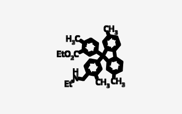 CCNCc1ccc(C2(c3ccc(C)c(C(=O)OCC)c3)c3cc(C)ccc3-c3ccc(C)cc32)cc1C